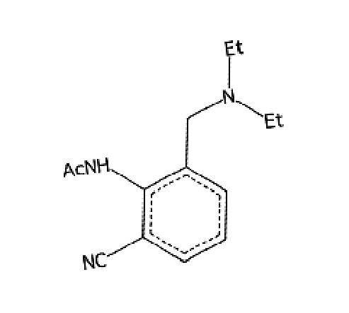 CCN(CC)Cc1cccc(C#N)c1NC(C)=O